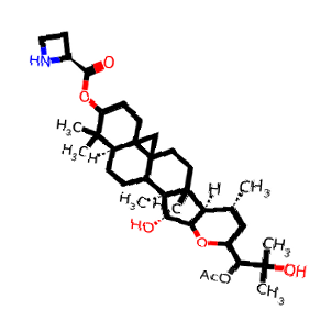 CC(=O)OC(C1C[C@@H](C)[C@H]2C(O1)[C@H](O)[C@@]1(C)C3CC[C@H]4C(C)(C)C(OC(=O)[C@@H]5CCN5)CCC45CC35CCC21C)C(C)(C)O